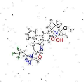 CC(C)(C)N(C(=O)O)C1(c2ccc(-c3nc4c(cc3-c3ccccc3)-n3c(nnc3CC(F)(F)F)CO4)cc2)CCC1